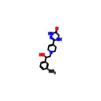 O=C1CNC(C2=CCN(CC(O)c3cccc([N+](=O)[O-])c3)CC2)=NN1